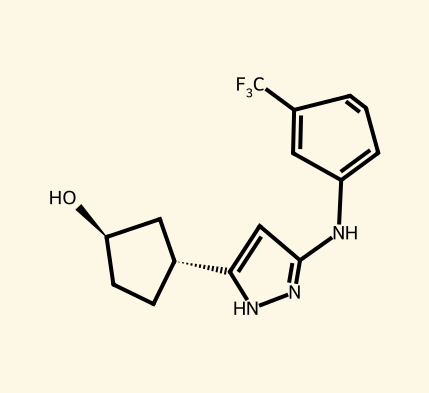 O[C@@H]1CC[C@@H](c2cc(Nc3cccc(C(F)(F)F)c3)n[nH]2)C1